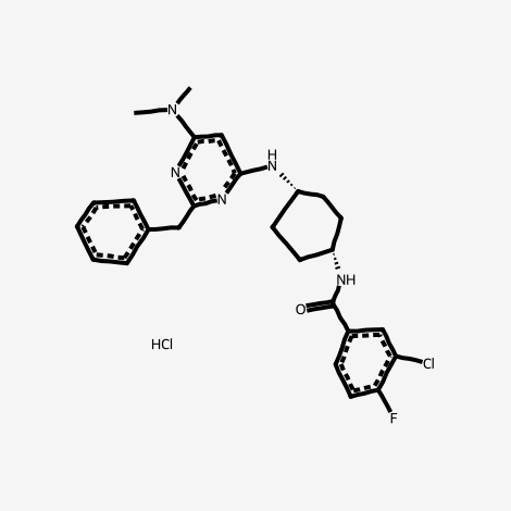 CN(C)c1cc(N[C@H]2CC[C@@H](NC(=O)c3ccc(F)c(Cl)c3)CC2)nc(Cc2ccccc2)n1.Cl